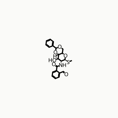 CS[C@@H]1OC2COC(c3ccccc3)O[C@H]2C(O)[C@H]1NC(=O)c1ccccc1C=O